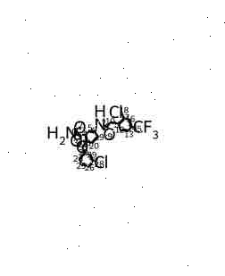 NS(=O)(=O)c1cc(NC(=O)Cc2ccc(C(F)(F)F)cc2Cl)ccc1Oc1cccc(Cl)c1